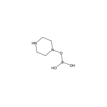 OB(O)ON1CCNCC1